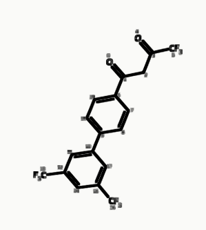 O=C(CC(=O)C(F)(F)F)c1ccc(-c2cc(C(F)(F)F)cc(C(F)(F)F)c2)cc1